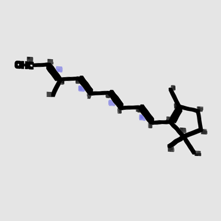 CC1=C(/C=C/C=C/C=C/C(C)=C/C=O)C(C)(C)CC1